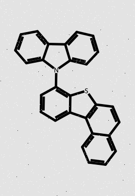 c1ccc2c(c1)ccc1sc3c(-n4c5ccccc5c5ccccc54)cccc3c12